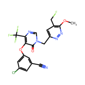 COc1nnc(Cn2cnc(C(F)(F)F)c(Oc3cc(Cl)cc(C#N)c3)c2=O)cc1CF